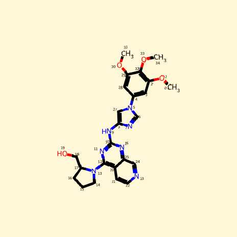 COc1cc(-n2cnc(Nc3nc(N4CCCC4CO)c4ccncc4n3)c2)cc(OC)c1OC